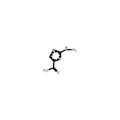 CNc1ncc(C(C)=O)o1